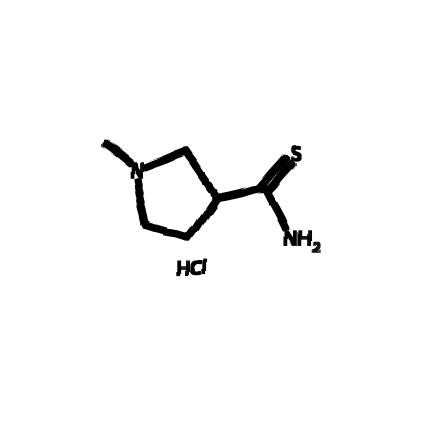 CN1CCC(C(N)=S)C1.Cl